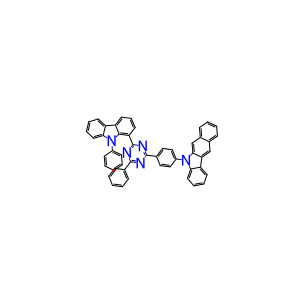 c1ccc(-c2nc(-c3ccc(-n4c5ccccc5c5cc6ccccc6cc54)cc3)nc(-c3cccc4c5ccccc5n(-c5ccccc5)c34)n2)cc1